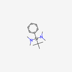 CN(C)[Si](c1ccccc1)(N(C)C)C(C)(C)C